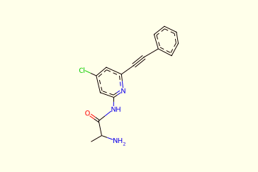 CC(N)C(=O)Nc1cc(Cl)cc(C#Cc2ccccc2)n1